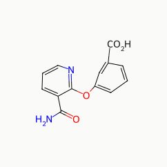 NC(=O)c1cccnc1Oc1cccc(C(=O)O)c1